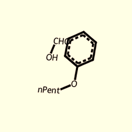 CCCCCOc1ccccc1.O=CO